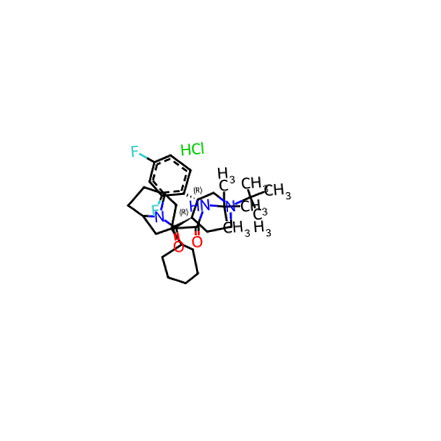 CC(C)(C)NC(=O)C1(C2CCCCC2)CC2CCC(C1)N2C(=O)[C@@H]1CCN(C(C)(C)C)C[C@H]1c1ccc(F)cc1F.Cl